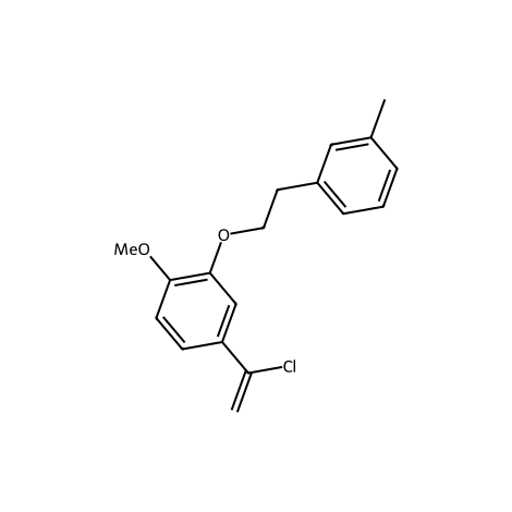 C=C(Cl)c1ccc(OC)c(OCCc2cccc(C)c2)c1